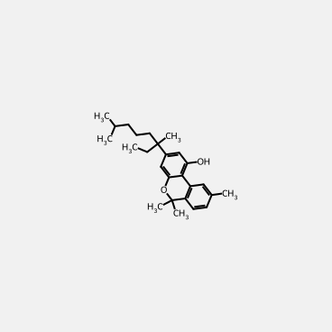 CCC(C)(CCCC(C)C)c1cc(O)c2c(c1)OC(C)(C)c1ccc(C)cc1-2